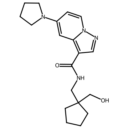 O=C(NCC1(CO)CCCC1)c1cnn2ccc(N3CCCC3)cc12